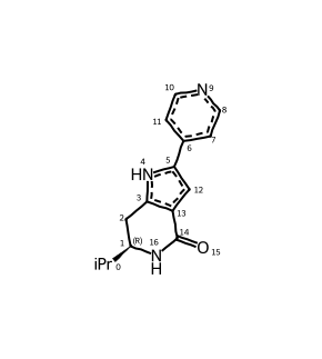 CC(C)[C@H]1Cc2[nH]c(-c3ccncc3)cc2C(=O)N1